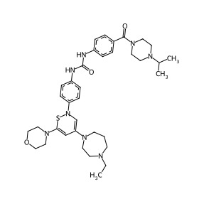 CCN1CCCN(C2=CN(c3ccc(NC(=O)Nc4ccc(C(=O)N5CCN(C(C)C)CC5)cc4)cc3)SC(N3CCOCC3)=C2)CC1